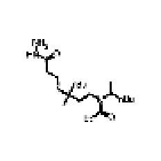 CCCCC(C)N(CCC(C)(CCCC)SCCC(=O)NN)C(=O)CC